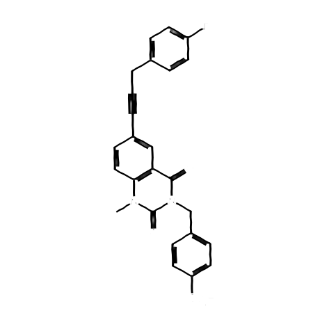 Cn1c(=O)n(Cc2ccc(C(=O)O)cc2)c(=O)c2cc(C#CCc3ccc(F)cc3)ccc21